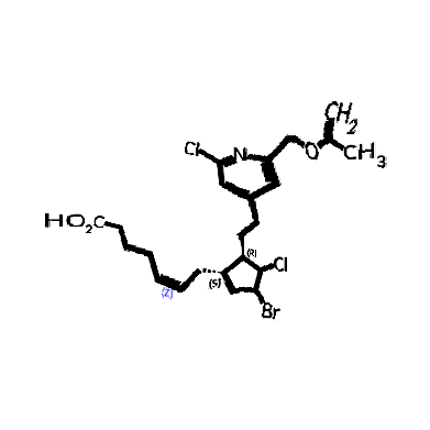 C=C(C)OCc1cc(CC[C@H]2C(Cl)C(Br)C[C@@H]2C/C=C\CCCC(=O)O)cc(Cl)n1